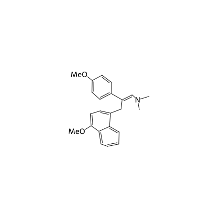 COc1ccc(/C(=C/N(C)C)Cc2ccc(OC)c3ccccc23)cc1